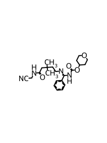 CC(C)(CCN=C(NC(=O)OC1CCOCC1)c1ccccc1)CC(=O)NCC#N